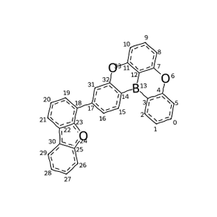 c1ccc2c(c1)Oc1cccc3c1B2c1ccc(-c2cccc4c2oc2ccccc24)cc1O3